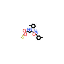 CSCOC(=O)c1cc(-c2nnc(-c3cccc(C)c3)o2)n(-c2ccccc2C)n1